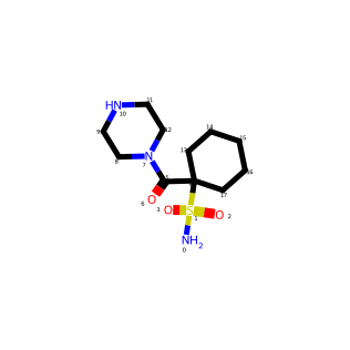 NS(=O)(=O)C1(C(=O)N2CCNCC2)CCCCC1